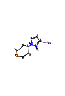 Ic1ccn(C2CCSCC2)n1